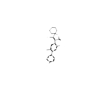 Cc1cc(-c2ccc(OC(F)(F)F)cc2)c(Cl)cc1C1=C(O)C2(CCCCC2)OC1=O